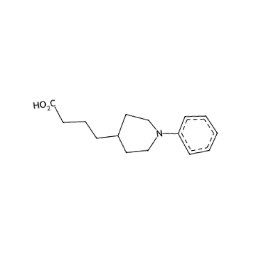 O=C(O)CCCC1CCN(c2ccccc2)CC1